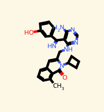 Cc1cccc2cc(CNc3ncnc(N)c3C(=N)c3cccc(O)c3)n(C3CCC3)c(=O)c12